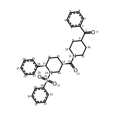 O=C(c1ccccc1)C1CCN(C(=O)[C@@H]2CC[C@H](c3ccccc3)N(S(=O)(=O)c3ccccc3)C2)CC1